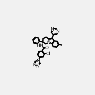 Cc1ccc2c(c1)c(-c1cncnc1)c1n2C[C@@](NC(=O)c2ccc(-n3cnnc3)cc2Cl)(c2ccccc2)CC1